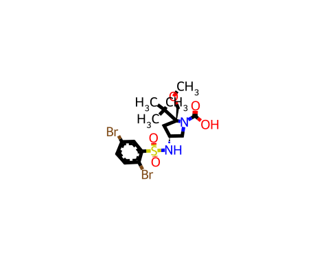 COC[C@]1(C(C)(C)C)C[C@@H](NS(=O)(=O)c2cc(Br)ccc2Br)CN1C(=O)O